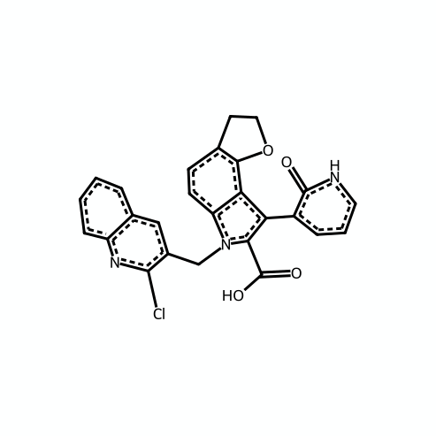 O=C(O)c1c(-c2ccc[nH]c2=O)c2c3c(ccc2n1Cc1cc2ccccc2nc1Cl)CCO3